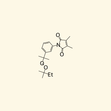 CCC(C)(C)OOC(C)(C)c1cccc(N2C(=O)C(C)=C(C)C2=O)c1